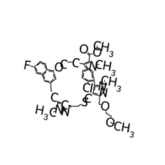 COCCOCc1nn(C)c2c1CSCc1cc(n(C)n1)CCc1cc(c3ccc(F)cc3c1)OCCCc1c(C(=O)OC)n(C)c3c-2c(Cl)ccc13